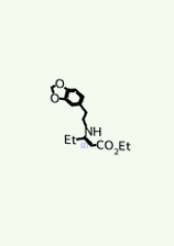 CCOC(=O)/C=C(/CC)NCCc1ccc2c(c1)OCO2